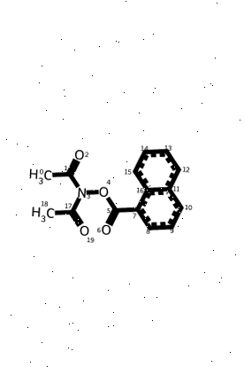 CC(=O)N(OC(=O)c1cccc2ccccc12)C(C)=O